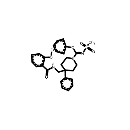 COc1ccccc1C(=O)NCC1(c2ccccc2)CCN(C(=NS(C)(=O)=O)Oc2ccccc2)CC1